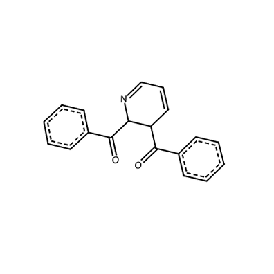 O=C(c1ccccc1)C1C=CC=NC1C(=O)c1ccccc1